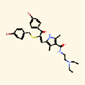 CCN(CC)CCNC(=O)c1c(C)[nH]c(C=C(SCc2ccc(Br)cc2)C(=O)c2ccc(Br)cc2)c1C